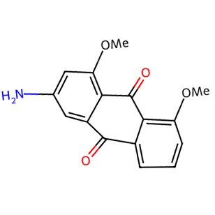 COc1cccc2c1C(=O)c1c(OC)cc(N)cc1C2=O